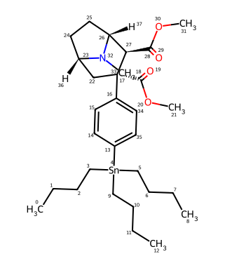 CCC[CH2][Sn]([CH2]CCC)([CH2]CCC)[c]1ccc([C@@]2(C(=O)OC)C[C@@H]3CC[C@H]([C@H]2C(=O)OC)N3C)cc1